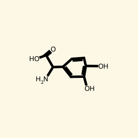 NC(C(=O)O)c1ccc(O)c(O)c1